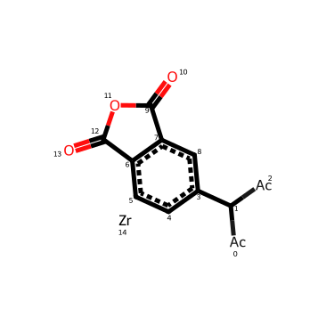 CC(=O)C(C(C)=O)c1ccc2c(c1)C(=O)OC2=O.[Zr]